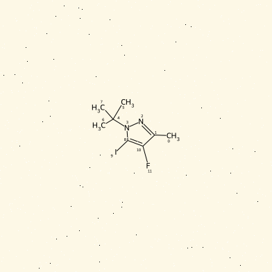 Cc1nn(C(C)(C)C)c(I)c1F